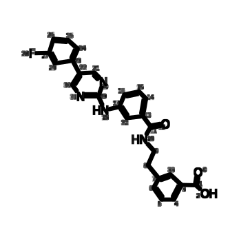 O=C(O)c1cccc(CCNC(=O)c2cccc(Nc3ncc(-c4cccc(F)c4)cn3)c2)c1